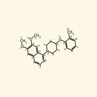 COc1cc2cnnc(N3CCC(Oc4ccccc4C)CC3)c2cc1OC